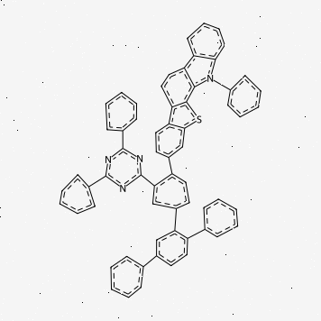 c1ccc(-c2ccc(-c3ccccc3)c(-c3ccc(-c4ccc5c(c4)sc4c5ccc5c6ccccc6n(-c6ccccc6)c54)c(-c4nc(-c5ccccc5)nc(-c5ccccc5)n4)c3)c2)cc1